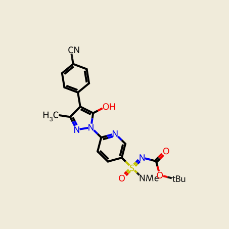 CNS(=O)(=NC(=O)OC(C)(C)C)c1ccc(-n2nc(C)c(-c3ccc(C#N)cc3)c2O)nc1